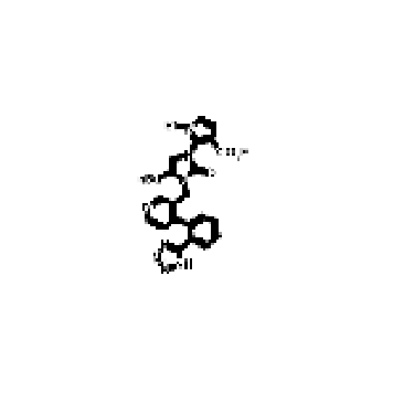 CCCCc1cn(-c2c(C(=O)OCC)ccn2CC)c(=O)n1Cc1cnccc1-c1ccccc1-c1nnn[nH]1